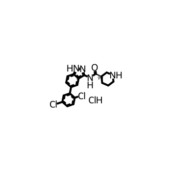 Cl.O=C(Nc1n[nH]c2ccc(-c3cc(Cl)ccc3Cl)cc12)[C@@H]1CCCNC1